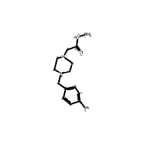 CC(C)c1ccc(CN2CCN(CC(=O)NN)CC2)cc1